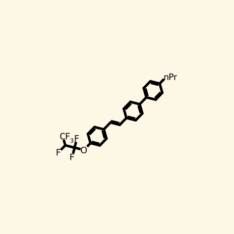 CCCc1ccc(-c2ccc(C=Cc3ccc(OC(F)(F)C(F)C(F)(F)F)cc3)cc2)cc1